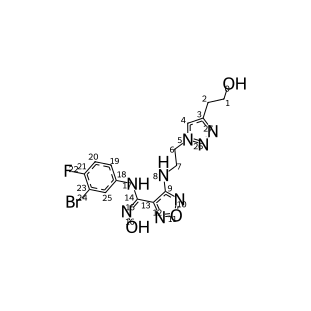 OCCc1cn(CCNc2nonc2C(=NO)Nc2ccc(F)c(Br)c2)nn1